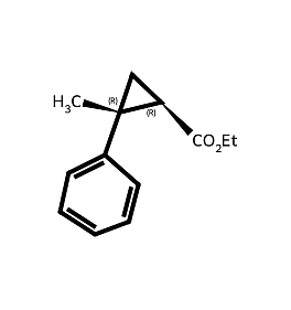 CCOC(=O)[C@@H]1C[C@@]1(C)c1ccccc1